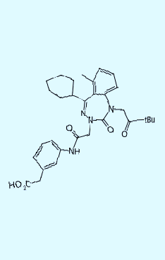 Cc1cccc2c1C(C1CCCCC1)=NN(CC(=O)Nc1cccc(CC(=O)O)c1)C(=O)N2CC(=O)C(C)(C)C